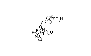 CN(C(=O)O)[C@H]1CCN(C2CCC(Oc3cc(-n4c(C(F)F)nc5ccccc54)nc(N4CCOCC4)n3)CC2)C1=O